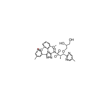 COc1cccc(OC)c1-n1c(NS(=O)(=O)[C@H](C)[C@H](OCC(O)CO)c2ncc(C)cn2)nnc1-c1cncc(C)c1